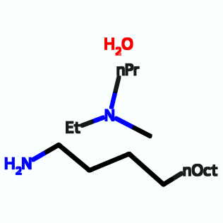 CCCCCCCCCCCCN.CCCN(C)CC.O